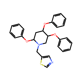 [c]1ncc(CN2CC(Oc3ccccc3)C(Oc3ccccc3)CC2Oc2ccccc2)s1